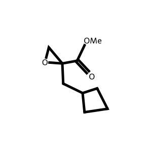 COC(=O)C1(CC2CCC2)CO1